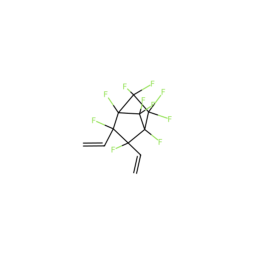 C=CC1(F)C(F)(C=C)C2(F)C(F)(F)C(F)(F)C1(F)C2(F)F